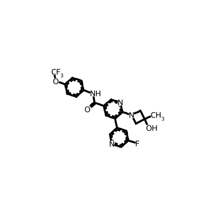 CC1(O)CN(c2ncc(C(=O)Nc3ccc(OC(F)(F)F)cc3)cc2-c2cncc(F)c2)C1